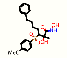 COc1ccc(S(=O)(=O)C(CCCCc2ccccc2)C(C)(O)C(=O)NO)cc1